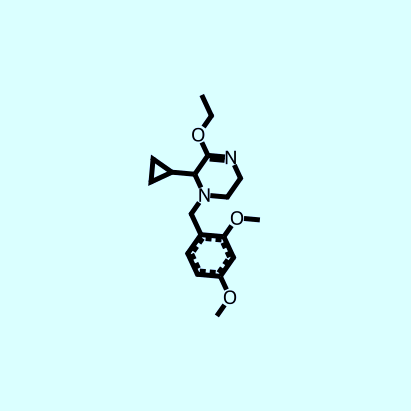 CCOC1=NCCN(Cc2ccc(OC)cc2OC)C1C1CC1